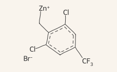 FC(F)(F)c1cc(Cl)c([CH2][Zn+])c(Cl)c1.[Br-]